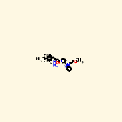 COCCCn1c([C@@H]2CCCN(C(=O)C[C@H](N)Cc3ccc(C(C)(C)C)cc3)C2)nc2ccccc21